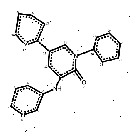 O=c1c(Nc2cccnc2)cc(-c2ccccn2)cn1-c1ccccc1